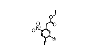 CCOC(=O)Cc1cc(Br)c(F)cc1[N+](=O)[O-]